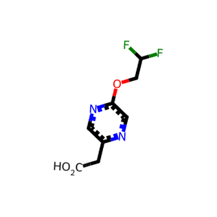 O=C(O)Cc1cnc(OCC(F)F)cn1